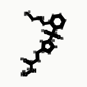 CC(C)CNCc1ccccc1S(=O)(=O)n1ccc(/C=C/C(=O)NO)c1